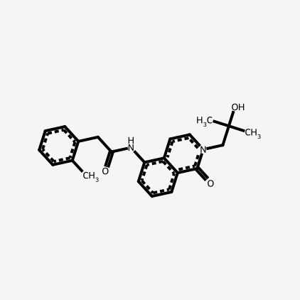 Cc1ccccc1CC(=O)Nc1cccc2c(=O)n(CC(C)(C)O)ccc12